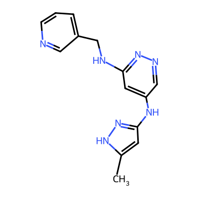 Cc1cc(Nc2cnnc(NCc3cccnc3)c2)n[nH]1